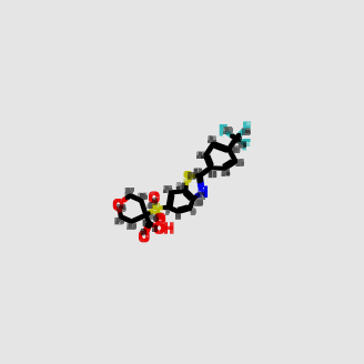 O=C(O)C1(S(=O)(=O)c2ccc3nc(-c4ccc(C(F)(F)F)cc4)sc3c2)CCOCC1